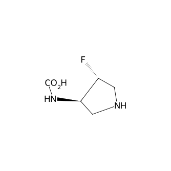 O=C(O)N[C@@H]1CNC[C@H]1F